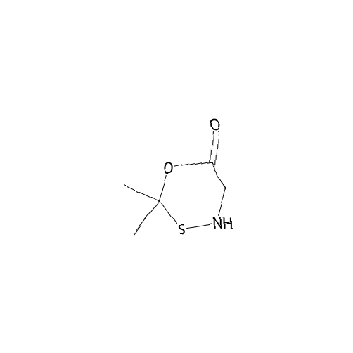 CC1(C)OC(=O)CNS1